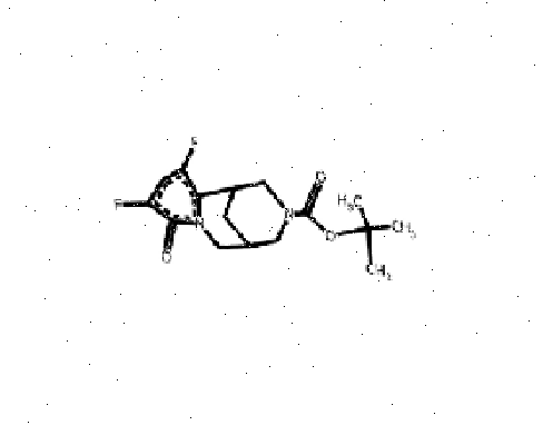 CC(C)(C)OC(=O)N1CC2CC(C1)c1c(F)cc(F)c(=O)n1C2